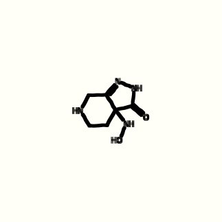 O=C1NN=C2CNCCC12NO